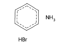 Br.N.c1ccccc1